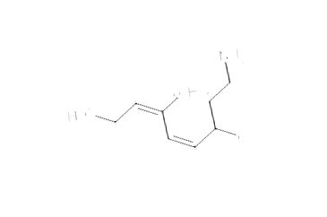 CC/C=C(C)\C=C/C(C)CCN